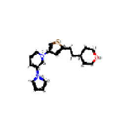 C1=CN(c2csc(CCC3CCOCC3)c2)CC(n2cccc2)=C1